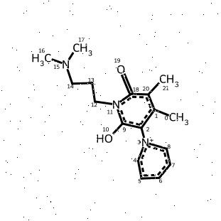 Cc1c(-[n+]2ccccc2)c(O)n(CCCN(C)C)c(=O)c1C